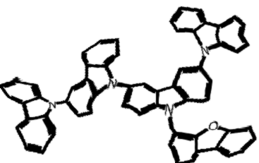 c1ccc2c(c1)oc1c(-n3c4ccc(-n5c6ccccc6c6ccccc65)cc4c4cc(-n5c6ccccc6c6cc(-n7c8ccccc8c8ccccc87)ccc65)ccc43)cccc12